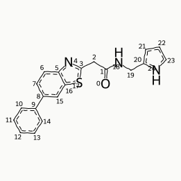 O=C(Cc1nc2ccc(-c3ccccc3)cc2s1)NCc1ccc[nH]1